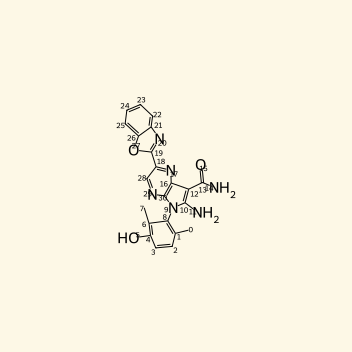 Cc1ccc(O)c(C)c1-n1c(N)c(C(N)=O)c2nc(-c3nc4ccccc4o3)cnc21